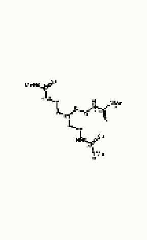 CNC(=S)NCCN(CCNC(=S)NC)CCNC(=S)NC